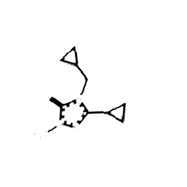 Cn1nc(C2CC2)n(CC2CC2)c1=O